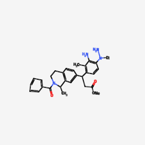 CCN(N)c1ccc(C(CC(=O)OC)c2ccc3c(c2)C(C)N(C(=O)c2ccccc2)CC3)c(C)c1N